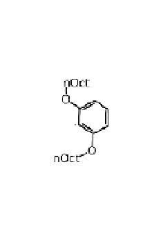 CCCCCCCCOc1[c]c(OCCCCCCCC)ccc1